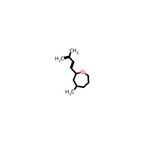 C=C(C)C=CC1CC(C)CCCO1